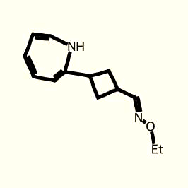 CCON=CC1CC(C2=CC=CC=CN2)C1